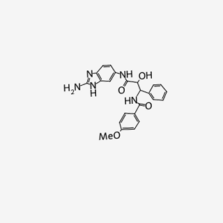 COc1ccc(C(=O)NC(c2ccccc2)C(O)C(=O)Nc2ccc3nc(N)[nH]c3c2)cc1